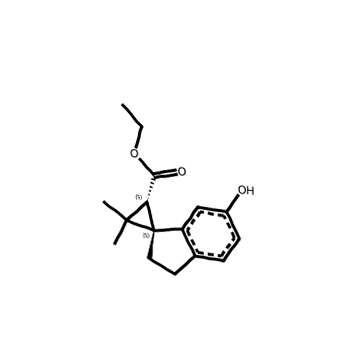 CCOC(=O)[C@H]1C(C)(C)[C@]12CCc1ccc(O)cc12